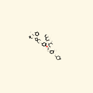 CC(C)c1ccccc1[C@@H]1COC(C)(C)CN1C1CC2(CCN(c3ccc(C(=O)NS(=O)(=O)c4ccc(NCC5CCC(C)(O)CC5)c([N+](=O)[O-])c4)c(N4c5cc6cc[nH]c6nc5O[C@H]5COCC[C@@H]54)c3)CC2)C1